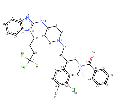 CN(CC(CCN1CCC(Nc2nc3ccccc3n2CCCC(F)(F)F)CC1)c1ccc(Cl)c(Cl)c1)C(=O)c1ccccc1